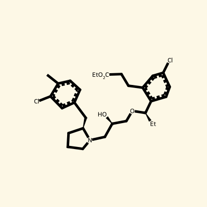 CCOC(=O)CCc1cc(Cl)ccc1[C@@H](CC)OC[C@H](O)CN1CCC[C@H]1Cc1ccc(C)c(Cl)c1